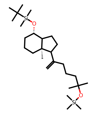 C=C(CCCC(C)(C)O[Si](C)(C)C)C1CCC2[C@@H](O[Si](C)(C)C(C)(C)C)CCC[C@]12C